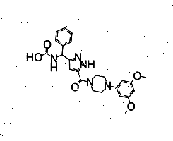 COc1cc(OC)cc(N2CCN(C(=O)c3cc(C(NC(=O)O)c4ccccc4)n[nH]3)CC2)c1